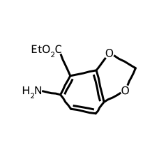 CCOC(=O)c1c(N)ccc2c1OCO2